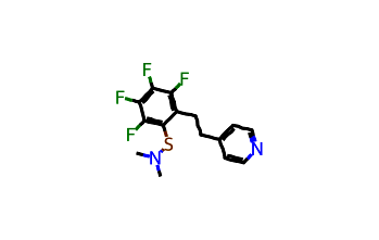 CN(C)Sc1c(F)c(F)c(F)c(F)c1CCc1ccncc1